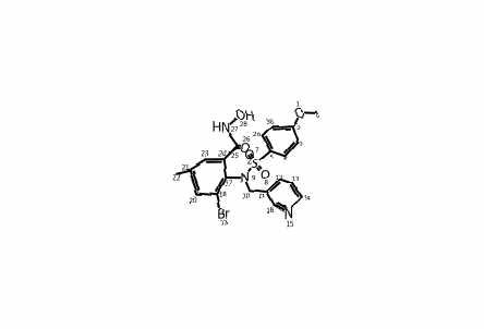 COc1ccc(S(=O)(=O)N(Cc2cccnc2)c2c(Br)cc(C)cc2C(=O)NO)cc1